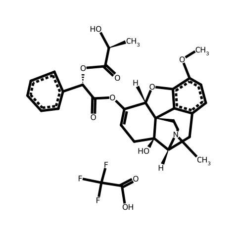 COc1ccc2c3c1O[C@H]1C(OC(=O)[C@@H](OC(=O)[C@H](C)O)c4ccccc4)=CC[C@@]4(O)[C@@H](C2)N(C)CC[C@]314.O=C(O)C(F)(F)F